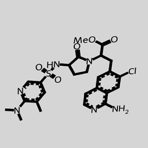 COC(=O)C(Cc1cc2ccnc(N)c2cc1Cl)N1CCC(NS(=O)(=O)c2cnc(N(C)C)c(C)c2)C1=O